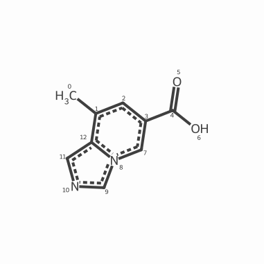 Cc1cc(C(=O)O)cn2cncc12